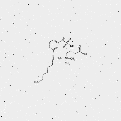 CCCCCCC#Cc1cccc(NS(=O)(=O)N[C@H](CC(=O)O)C[N+](C)(C)C)c1